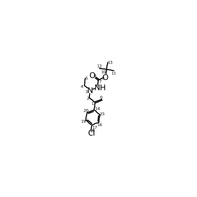 C=C(CN(CC)NC(=O)OC(C)(C)C)c1ccc(Cl)cc1